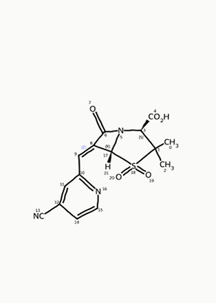 CC1(C)[C@H](C(=O)O)N2C(=O)/C(=C/c3cc(C#N)ccn3)[C@H]2S1(=O)=O